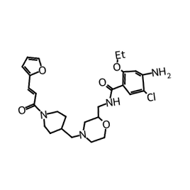 CCOc1cc(N)c(Cl)cc1C(=O)NCC1CN(CC2CCN(C(=O)C=Cc3ccco3)CC2)CCO1